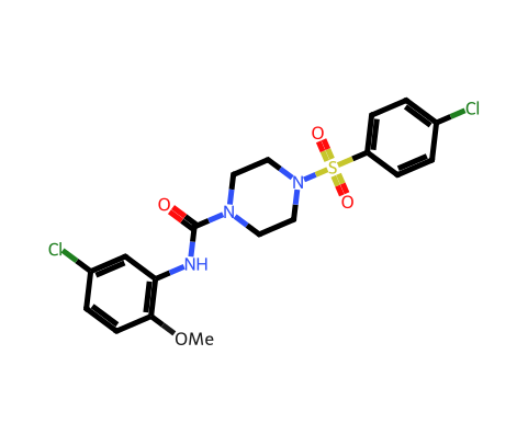 COc1ccc(Cl)cc1NC(=O)N1CCN(S(=O)(=O)c2ccc(Cl)cc2)CC1